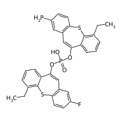 CCc1cccc2c1Sc1ccc(F)cc1C=C2OP(=O)(O)OC1=Cc2cc(P)ccc2Sc2c(CC)cccc21